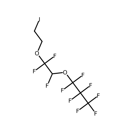 FC(OC(F)(F)C(F)(F)C(F)(F)F)C(F)(F)OCCI